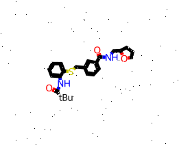 CC(C)(C)C(=O)Nc1ccccc1SCc1cccc(C(=O)NCC2CCCO2)c1